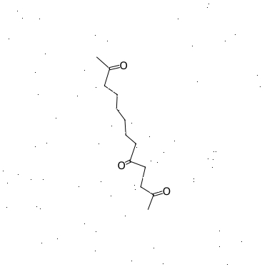 CC(=O)CCCCCCC(=O)CCC(C)=O